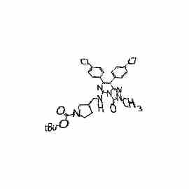 Cn1nc2c(-c3ccc(Cl)cc3)c(-c3ccc(Cl)cc3)nc(NCC3CCN(C(=O)OC(C)(C)C)C3)n2c1=O